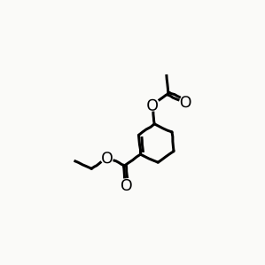 CCOC(=O)C1=CC(OC(C)=O)CCC1